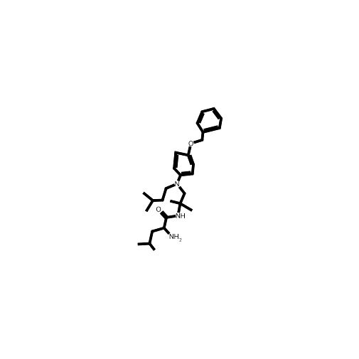 CC(C)CCN(CC(C)(C)NC(=O)C(N)CC(C)C)c1ccc(OCc2ccccc2)cc1